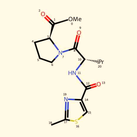 COC(=O)[C@@H]1CCCN1C(=O)[C@@H](NC(=O)c1csc(C)n1)C(C)C